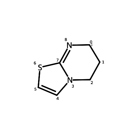 [C]1CCN2C=CSC2=N1